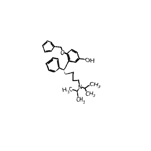 CC(C)N(CCCC[C@H](c1ccccc1)c1cc(O)ccc1OCc1ccccc1)C(C)C